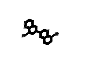 CC(C)c1cccc2cc(-c3cc(C(C)C)c4nnccc4c3)cnc12